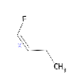 CC/[C]=C\F